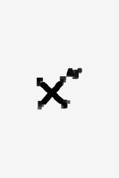 FC(F)(F)[S-].[Ag+]